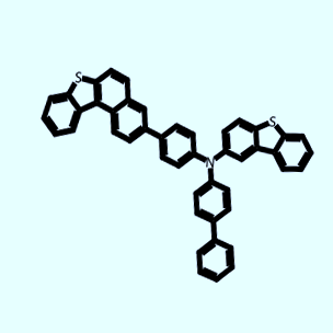 c1ccc(-c2ccc(N(c3ccc(-c4ccc5c(ccc6sc7ccccc7c65)c4)cc3)c3ccc4sc5ccccc5c4c3)cc2)cc1